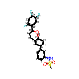 CS(=O)(=O)Nc1cccc(-c2ccc3c(c2)CCC(c2cc(F)c(F)cc2F)O3)c1